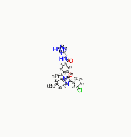 CCCC(c1ccc(C(=O)NCc2nn[nH]n2)cc1)N1C(=O)C(C2=CC(Cl)=CCC2)=NC12CCC(C(C)(C)C)CC2